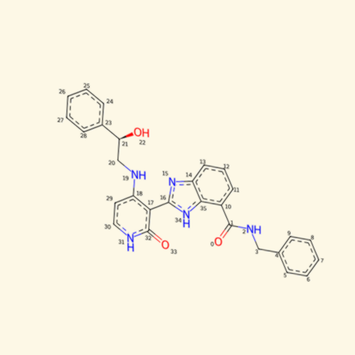 O=C(NCc1ccccc1)c1cccc2nc(-c3c(NC[C@H](O)c4ccccc4)cc[nH]c3=O)[nH]c12